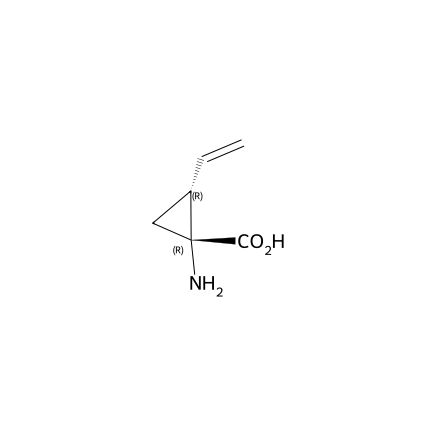 C=C[C@H]1C[C@]1(N)C(=O)O